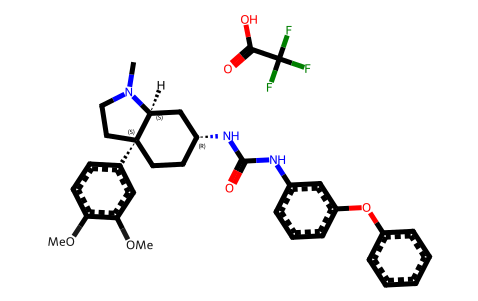 COc1ccc([C@@]23CC[C@@H](NC(=O)Nc4cccc(Oc5ccccc5)c4)C[C@@H]2N(C)CC3)cc1OC.O=C(O)C(F)(F)F